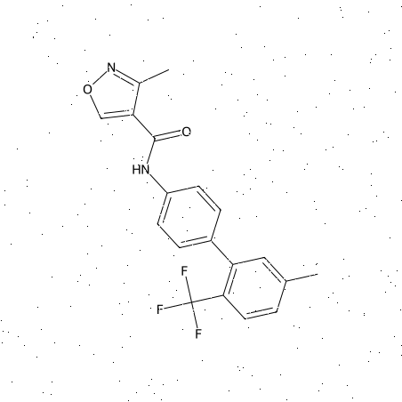 Cc1ccc(C(F)(F)F)c(-c2ccc(NC(=O)c3conc3C)cc2)c1